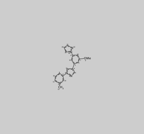 COc1cc(-c2cnn(-c3cccc(C)c3)c2)cc(-n2cccn2)c1